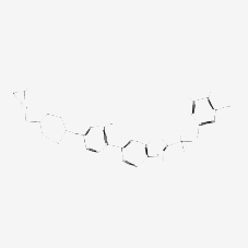 CC1CN1CC1CCC(c2ccc(-c3ccc4nc(C(F)(F)Oc5cc(F)c(F)c(F)c5)sc4c3)c(F)c2)CC1